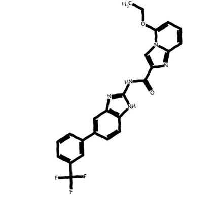 CCOc1cccc2nc(C(=O)Nc3nc4cc(-c5cccc(C(F)(F)F)c5)ccc4[nH]3)cn12